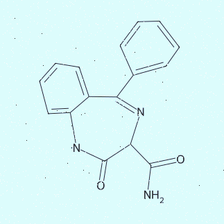 NC(=O)C1N=C(c2ccccc2)c2ccccc2[N]C1=O